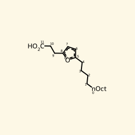 CCCCCCCCCCCCc1ccc(CCC(=O)O)o1